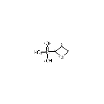 O[PH](O)(O)C1CCO1